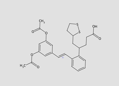 CC(=O)Oc1cc(/C=C/c2ccccc2C(CCC(=O)O)CC2CCSS2)cc(OC(C)=O)c1